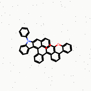 c1ccc(-n2c3ccccc3c3c(-c4ccccc4-c4ccc5c6c(cccc46)-c4ccccc4O5)c4ccccc4cc32)cc1